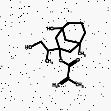 C=C(C)C(=O)OC1(C(C)CO)CC2(C)CCCC(O)(C2)C1